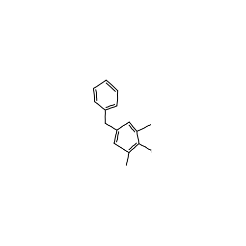 Cc1cc(Cc2ccccc2)cc(C)c1I